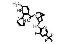 CC1C=CC(C(=O)N2CC3CC34CC(Nc3ncc(C(F)(F)F)cc3F)C24)=C(c2ncccn2)N1